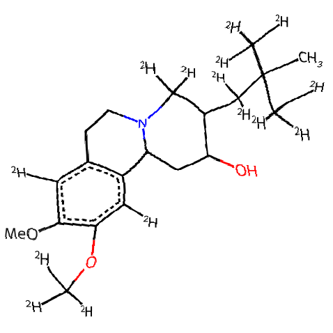 [2H]c1c2c(c([2H])c(OC([2H])([2H])[2H])c1OC)C1CC(O)C(C([2H])([2H])C(C)(C([2H])([2H])[2H])C([2H])([2H])[2H])C([2H])([2H])N1CC2